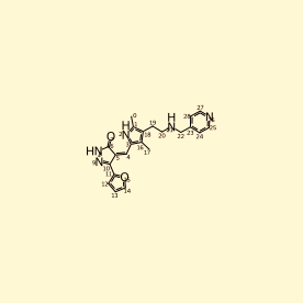 Cc1[nH]c(C=C2C(=O)NN=C2c2ccco2)c(C)c1CCNCc1ccncc1